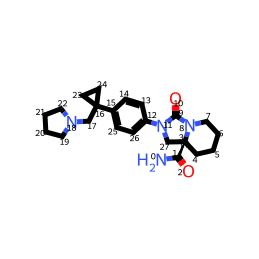 NC(=O)[C@]12[CH]CCCN1C(=O)N(c1ccc(C3(CN4CCCC4)CC3)cc1)C2